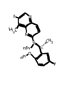 CCCOc1ccc(F)cc1[C@@H](C)N(CCC)c1ccc2ncc(F)c(C)c2n1